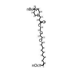 CCCCCCCC/C=C\CCCCCCCCOCCOCCOC(=O)CCN1CC[N+](C)(CCCC)CC1